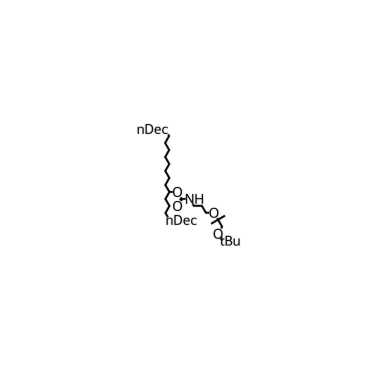 CCCCCCCCCCCCCCCCCCC(CCCCCCCCCCCCC)OC(=O)NCCCOC(C)(C)COC(C)(C)C